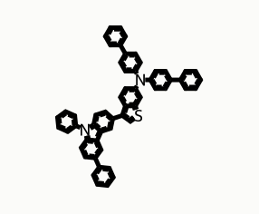 c1ccc(-c2ccc(N(c3ccc(-c4ccccc4)cc3)c3ccc4c(-c5ccc6c(c5)c5cc(-c7ccccc7)ccc5n6-c5ccccc5)csc4c3)cc2)cc1